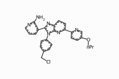 CCCOc1ccc(-c2ccc3nc(-c4cccnc4N)n(-c4ccc(CCl)cc4)c3n2)nc1